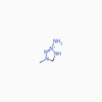 CN1CN[N+](N)=N1